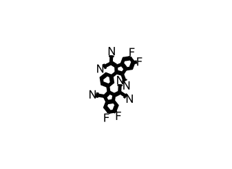 N#CC(C#N)=C1C(c2cccc(C3=C(C#N)c4cc(F)c(F)cc4C3=C(C#N)C#N)c2)=C(C#N)c2cc(F)c(F)cc21